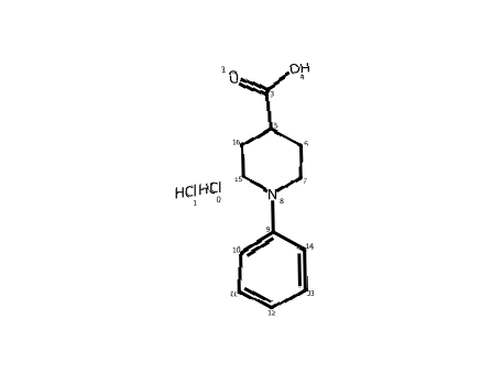 Cl.Cl.O=C(O)C1CCN(c2ccccc2)CC1